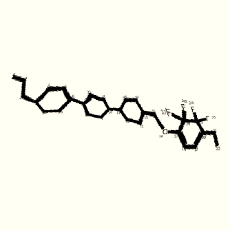 CCCC1CCC(C2CCC(C3CCC(COC4=CC=C(CC)C(F)(F)C4(F)F)CC3)CC2)CC1